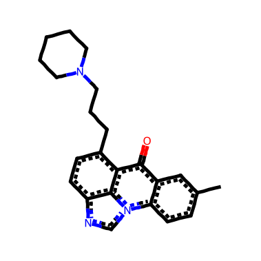 Cc1ccc2c(c1)c(=O)c1c(CCCN3CCCCC3)ccc3ncn2c31